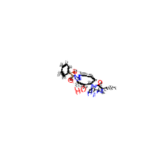 CCCC(N)C(=O)N(C)C1CCCN(S(=O)(=O)c2ccccc2)CC1O